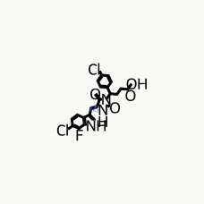 O=C(O)CCC(c1ccc(Cl)cc1)N1C(=O)N/C(=C\c2c[nH]c3c(F)c(Cl)ccc23)C1=O